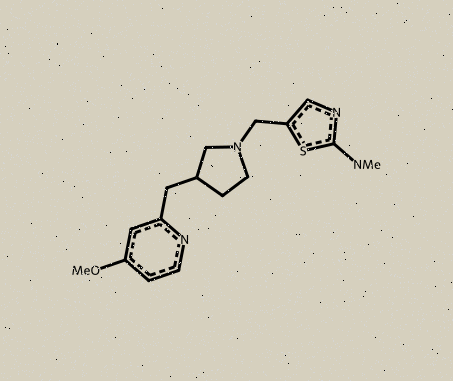 CNc1ncc(CN2CCC(Cc3cc(OC)ccn3)C2)s1